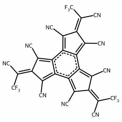 N#CC(=C1C(C#N)=c2c3c(c4c(c2=C1C#N)=C(C#N)C(=C(C#N)C(F)(F)F)C=4C#N)=C(C#N)C(=C(C#N)C(F)(F)F)C=3C#N)C(F)(F)F